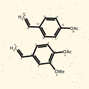 C=Cc1ccc(OC(C)=O)c(OC)c1.C=Cc1ccc(OC(C)=O)cc1